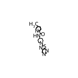 Cc1ccc(C(=O)NC2CCN(c3nc4cncnc4s3)CC2)nc1